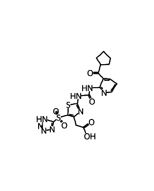 O=C(O)Cc1nc(NC(=O)Nc2ncccc2C(=O)C2CCCC2)sc1S(=O)(=O)c1nnn[nH]1